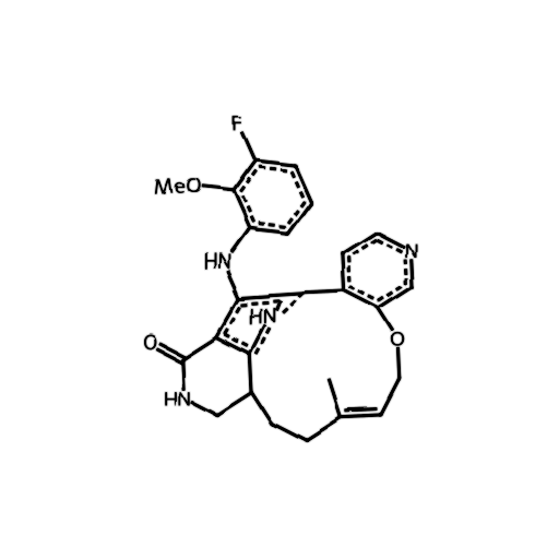 COc1c(F)cccc1Nc1c2[nH]c3c1C(=O)NCC3CC/C(C)=C/COc1cnccc1-2